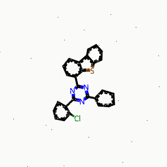 Clc1ccccc1-c1nc(-c2ccccc2)nc(-c2cccc3c2sc2ccccc23)n1